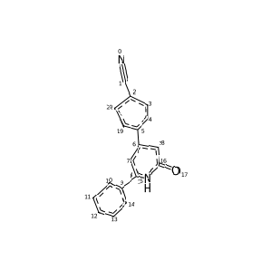 N#Cc1ccc(-c2cc(-c3ccccc3)[nH]c(=O)c2)cc1